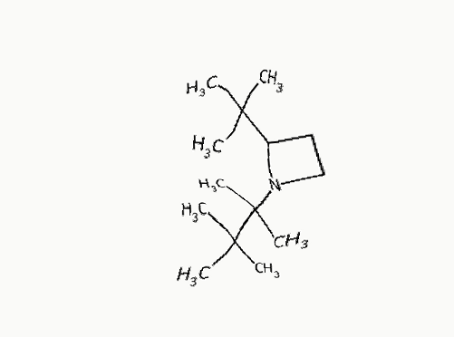 CC(C)(C)C1CCN1C(C)(C)C(C)(C)C